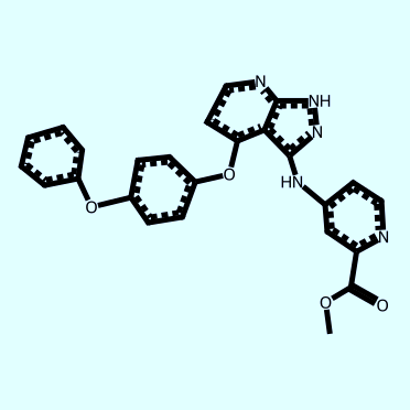 COC(=O)c1cc(Nc2n[nH]c3nccc(Oc4ccc(Oc5ccccc5)cc4)c23)ccn1